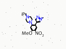 COc1cc(N2CCN(C(C)C)CC2)c(-c2cnn(C)c2)cc1[N+](=O)[O-]